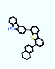 c1ccc2c(c1)[nH]c1ccc(-c3cccc4c3sc3c(-c5ccc6c(c5)CCCC6)cccc34)cc12